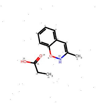 CC1=Cc2ccccc2ON1.CCC(=O)O